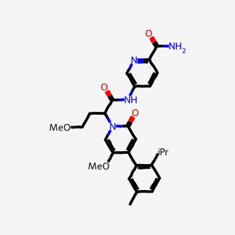 COCCC(C(=O)Nc1ccc(C(N)=O)nc1)n1cc(OC)c(-c2cc(C)ccc2C(C)C)cc1=O